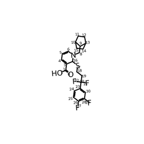 O=C(O)C1=CC=CN(CC2C3CCC2CC3)C1SCCC(F)(F)c1ccc(F)c(F)c1